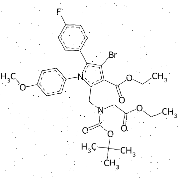 CCOC(=O)CN(Cc1c(C(=O)OCC)c(Br)c(-c2ccc(F)cc2)n1-c1ccc(OC)cc1)C(=O)OC(C)(C)C